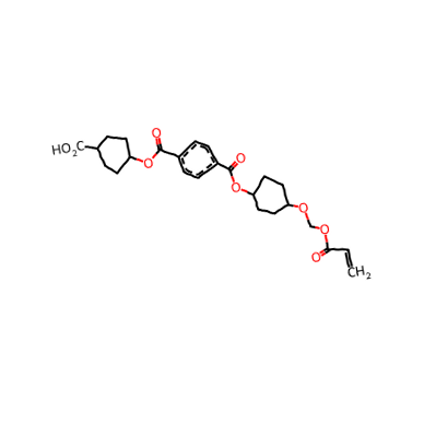 C=CC(=O)OCOC1CCC(OC(=O)c2ccc(C(=O)OC3CCC(C(=O)O)CC3)cc2)CC1